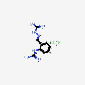 Cl.Cl.N=C(N)N/N=C/c1ccccc1NC(=N)N